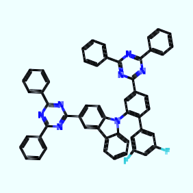 Fc1cc(F)cc(-c2ccc(-c3nc(-c4ccccc4)nc(-c4ccccc4)n3)cc2-n2c3ccccc3c3cc(-c4nc(-c5ccccc5)nc(-c5ccccc5)n4)ccc32)c1